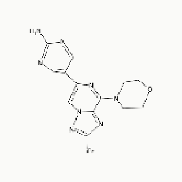 CC(C)c1nc2c(N3CCOCC3)nc(-c3cnc(N)nc3)cn2n1